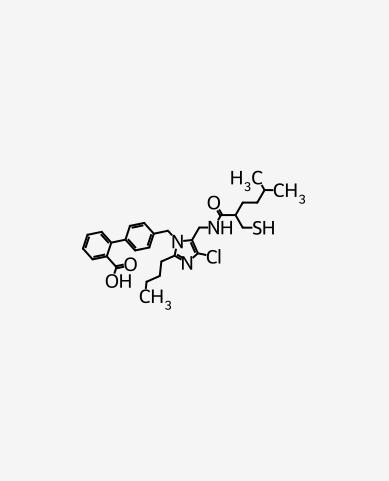 CCCCc1nc(Cl)c(CNC(=O)C(CS)CCC(C)C)n1Cc1ccc(-c2ccccc2C(=O)O)cc1